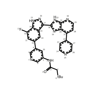 CC(C)(C)CC(=O)Nc1cncc(-c2cc(F)c3[nH]nc(-c4nc5c(-c6ccncc6)ccnc5[nH]4)c3c2)c1